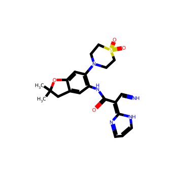 CC1(C)Cc2cc(NC(=O)/C(C=N)=C3\N=CC=CN3)c(N3CCS(=O)(=O)CC3)cc2O1